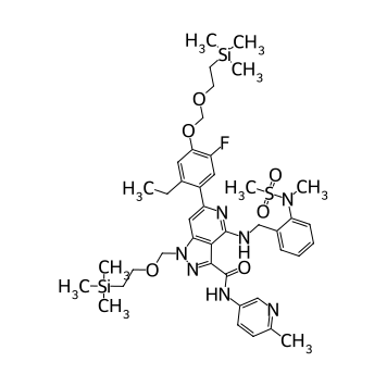 CCc1cc(OCOCC[Si](C)(C)C)c(F)cc1-c1cc2c(c(NCc3ccccc3N(C)S(C)(=O)=O)n1)c(C(=O)Nc1ccc(C)nc1)nn2COCC[Si](C)(C)C